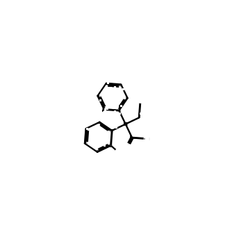 CCC(C(=O)O)(c1ccccc1O)c1ccccc1O